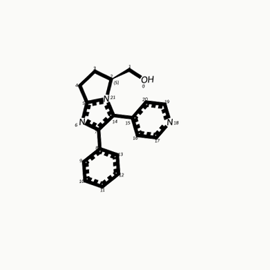 OC[C@@H]1CCc2nc(-c3ccccc3)c(-c3ccncc3)n21